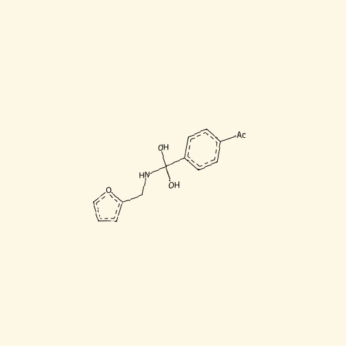 CC(=O)c1ccc(C(O)(O)NCc2ccco2)cc1